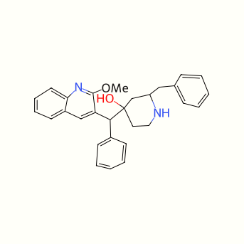 COc1nc2ccccc2cc1C(c1ccccc1)C1(O)CCNC(Cc2ccccc2)C1